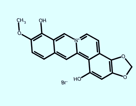 COc1ccc2cc3c4c(O)cc5c(c4cc[n+]3cc2c1O)OCO5.[Br-]